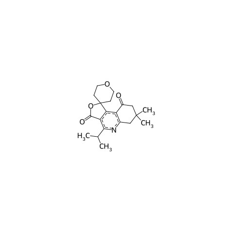 CC(C)c1nc2c(c3c1C(=O)OC31CCOCC1)C(=O)CC(C)(C)C2